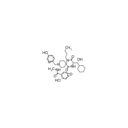 CCCCN1C(=O)[C@@H]([C@H](O)C2CCCCC2)NC(=O)C12CCN(Cc1ccc(O)cn1)CC2.CNC(=O)c1ccc2c(c1)O2.Cl